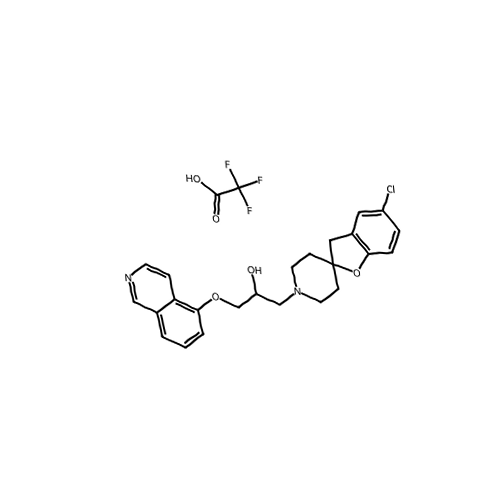 O=C(O)C(F)(F)F.OC(COc1cccc2cnccc12)CN1CCC2(CC1)Cc1cc(Cl)ccc1O2